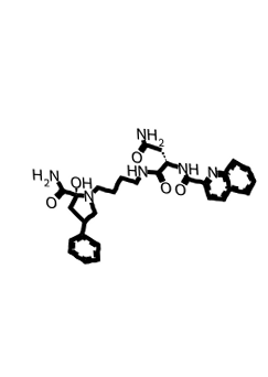 NC(=O)C[C@H](NC(=O)c1ccc2ccccc2n1)C(=O)NCCCCN1CC(c2ccccc2)C[C@@]1(O)C(N)=O